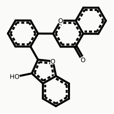 O=c1cc(-c2ccccc2-c2oc3ccccc3c2O)oc2ccccc12